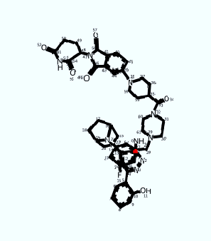 Nc1nnc(-c2ccccc2O)cc1N1CC2CCC(C1)N2c1cc(F)cc(CN2CCN(C(=O)C3CCN(c4ccc5c(c4)C(=O)N(C4CCC(=O)NC4=O)C5=O)CC3)CC2)c1